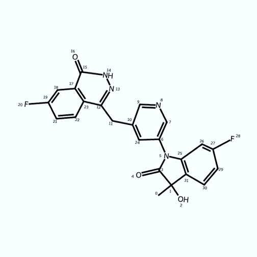 CC1(O)C(=O)N(c2cncc(Cc3n[nH]c(=O)c4cc(F)ccc34)c2)c2cc(F)ccc21